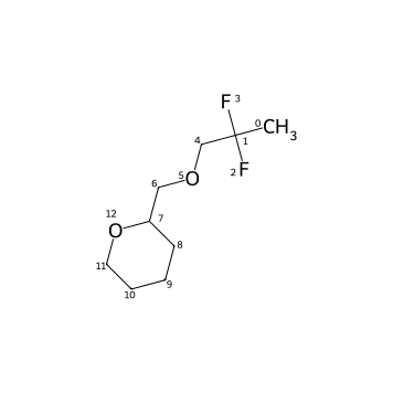 CC(F)(F)COCC1CCCCO1